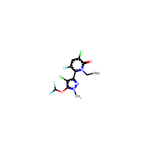 CSCn1c(-c2nn(C)c(OC(F)F)c2Cl)c(F)cc(Cl)c1=O